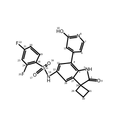 O=C1Nc2c(-c3ccnc(O)c3)cc(NS(=O)(=O)c3ccc(F)cc3F)cc2C12CCC2